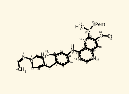 C/C=N\N1C=CC(Cc2ccc(Nc3ncnc4cc(OCC)c(N(C)CCCCC)nc34)cc2C)=CC1